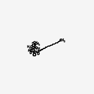 CCCCCCCCCCCCCCCCC=CNC(=O)NC1CCCCC1C(CNC(=O)C1OC(C)(C)OCC1(C)C)C(=O)O